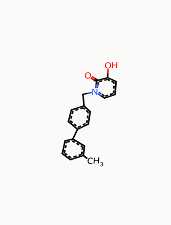 Cc1cccc(-c2ccc(Cn3cccc(O)c3=O)cc2)c1